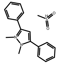 C[SH](=O)=O.Cn1c(-c2ccccc2)cc(-c2ccccc2)[n+]1C